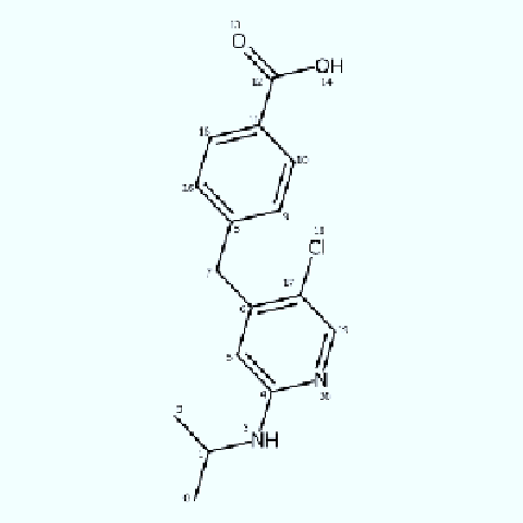 CC(C)Nc1cc(Cc2ccc(C(=O)O)cc2)c(Cl)cn1